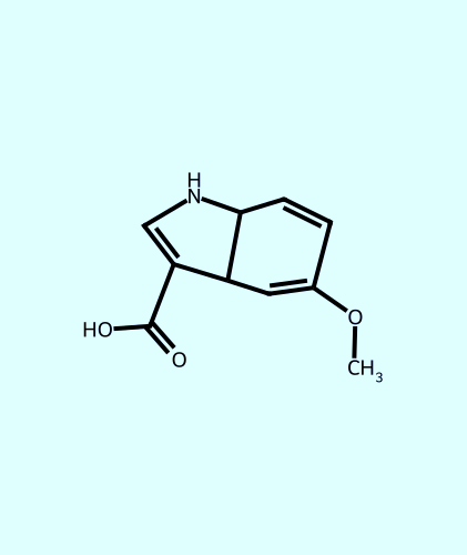 COC1=CC2C(C(=O)O)=CNC2C=C1